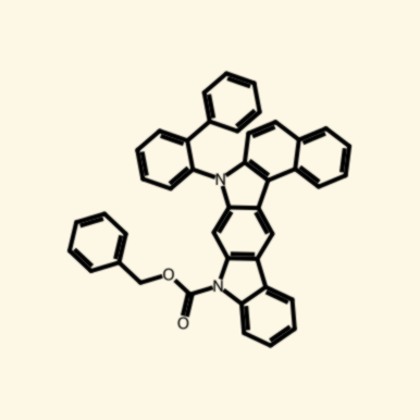 O=C(OCc1ccccc1)n1c2ccccc2c2cc3c4c5ccccc5ccc4n(-c4ccccc4-c4ccccc4)c3cc21